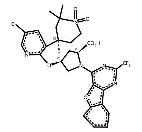 CC1(C)C[C@](F)(c2cc(Cl)cnc2O[C@H]2C[C@@H](C(=O)O)N(c3nc(C(F)(F)F)nc4c3oc3ccccc34)C2)CCS1(=O)=O